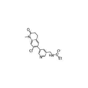 CC[S+]([O-])NCc1cncc(-c2cc3c(cc2Cl)N(C)C(=O)CC3)c1